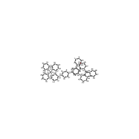 c1ccc(-c2nc(-c3ccc(-c4cccc5c4-c4ccccc4C54c5ccccc5-c5ccccc54)cc3)nc(-c3cccc4c5ccccc5n(-c5ccccc5)c34)n2)cc1